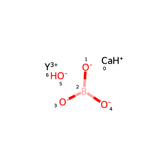 [CaH+].[O-]B([O-])[O-].[OH-].[Y+3]